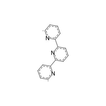 [c]1cccc(-c2cccc(-c3ccc[c]n3)n2)n1